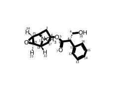 CN1C2CC(OC(=O)[C@H](CO)c3ccccc3)C[C@@H]1[C@H]1O[C@@H]21